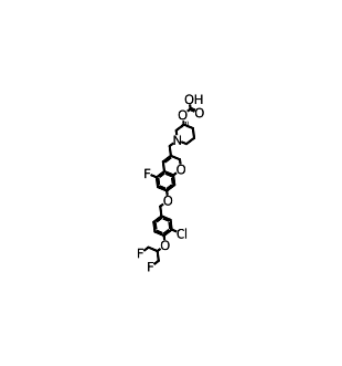 O=C(O)O[C@@H]1CCCN(CC2=Cc3c(F)cc(OCc4ccc(OC(CF)CF)c(Cl)c4)cc3OC2)C1